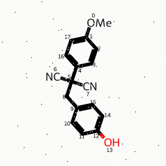 COc1ccc(C(C#N)(C#N)Cc2ccc(O)cc2)cc1